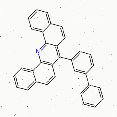 c1ccc(-c2cccc(-c3c4ccc5ccccc5c4nc4c3ccc3ccccc34)c2)cc1